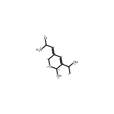 CCC(N)/C=C1/C=C(C(C)O)C(O)OC1